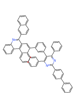 c1ccc(-c2ccc(-c3nc(-c4ccccc4)c(-c4cccc(-c5cc6c(-c7ccc8ccccc8c7)nc7ccccc7c6c6ccccc56)c4)c(-c4ccccc4)n3)cc2)cc1